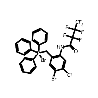 O=C(Nc1cc(Cl)c(Br)cc1CP(Br)(c1ccccc1)(c1ccccc1)c1ccccc1)C(F)(F)C(F)(F)C(F)(F)F